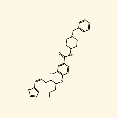 CCCC(CC/C=C\c1ccco1)Oc1ccc(C(=O)NC2CCN(Cc3ccccc3)CC2)cc1Cl